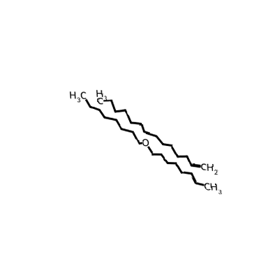 C=CCCCCCCCCCCCC.CCCCCCCCOCCCCCCCC